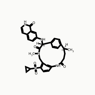 C[C@H]1CCC(=O)Nc2ccc(S(=O)(=O)C3CC3)c(c2)CN(C)C(=O)[C@H](Nc2ccc3cc[nH]c(=O)c3c2)c2ccc1cc2